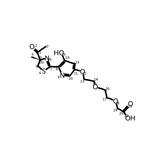 CC(=O)[C@@]1(C)CSC(c2ncc(OCCOCCOCC(=O)O)cc2O)=N1